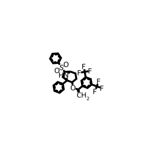 C=C(OC1CCC2NC1(c1ccccc1)CC2S(=O)(=O)c1ccccc1)c1cc(C(F)(F)F)cc(C(F)(F)F)c1